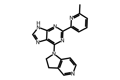 Cc1cccc(-c2nc(N3CCc4cnccc43)c3nc[nH]c3n2)n1